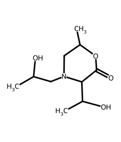 CC(O)CN1CC(C)OC(=O)C1C(C)O